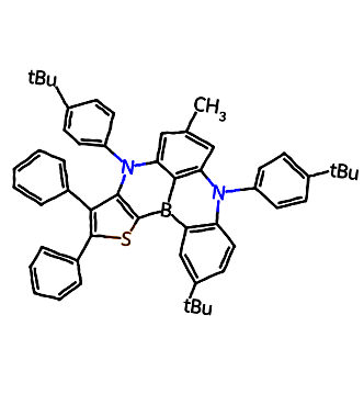 Cc1cc2c3c(c1)N(c1ccc(C(C)(C)C)cc1)c1c(sc(-c4ccccc4)c1-c1ccccc1)B3c1cc(C(C)(C)C)ccc1N2c1ccc(C(C)(C)C)cc1